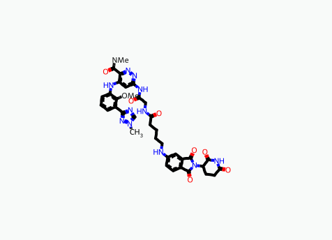 CNC(=O)c1nnc(NC(=O)CNC(=O)CCCCNc2ccc3c(c2)C(=O)N(C2CCC(=O)NC2=O)C3=O)cc1Nc1cccc(-c2ncn(C)n2)c1OC